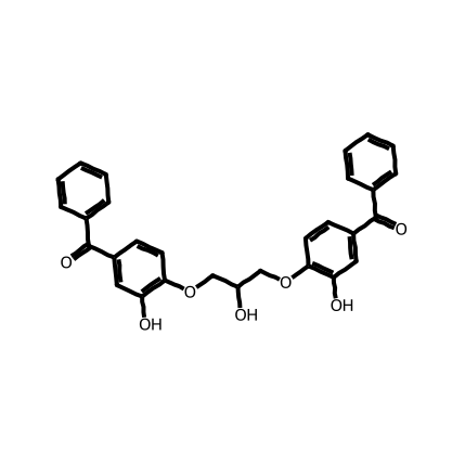 O=C(c1ccccc1)c1ccc(OCC(O)COc2ccc(C(=O)c3ccccc3)cc2O)c(O)c1